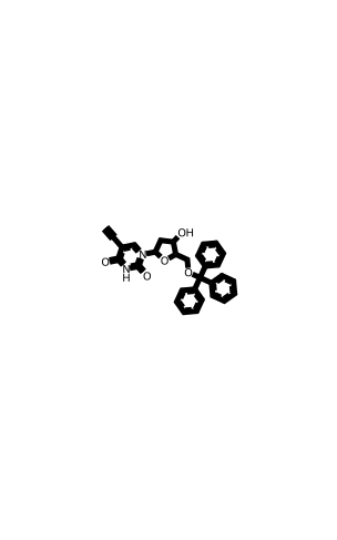 C#Cc1cn(C2CC(O)C(COC(c3ccccc3)(c3ccccc3)c3ccccc3)O2)c(=O)[nH]c1=O